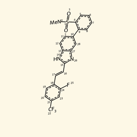 CNS(=O)(=O)c1ccccc1-c1ccc2[nH]c(C=Cc3ccc(C(F)(F)F)cc3F)nc2c1